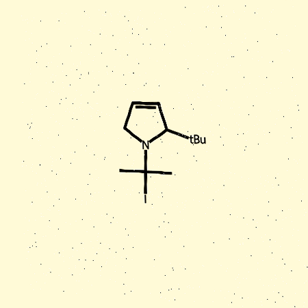 CC(C)(C)C1C=CCN1C(C)(C)I